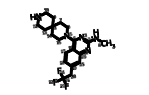 CNc1nc(N2CCC3(CCNCC3)CC2)c2ccc(CC(F)(F)F)cc2n1